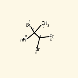 CCCC(C)(Br)[C](Br)CC